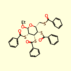 CCO[C@H]1O[C@H](CSC(=O)c2ccccc2)[C@H](SC(=O)c2ccccc2)[C@H](SC(=O)c2ccccc2)[C@@H]1SC(=O)c1ccccc1